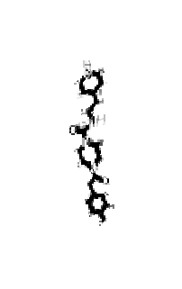 [CH2]c1ccc(CC(=O)N2CCN(C(=O)NCCC3CCNCC3)CC2)cc1